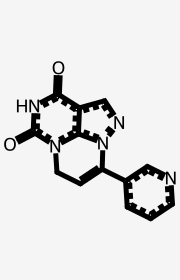 O=c1[nH]c(=O)n2c3c1cnn3C(c1cccnc1)=CC2